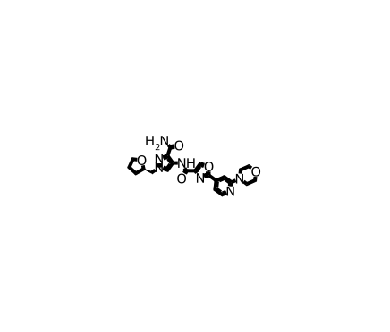 NC(=O)c1nn(C[C@H]2CCCO2)cc1NC(=O)c1coc(-c2ccnc(N3CCOCC3)c2)n1